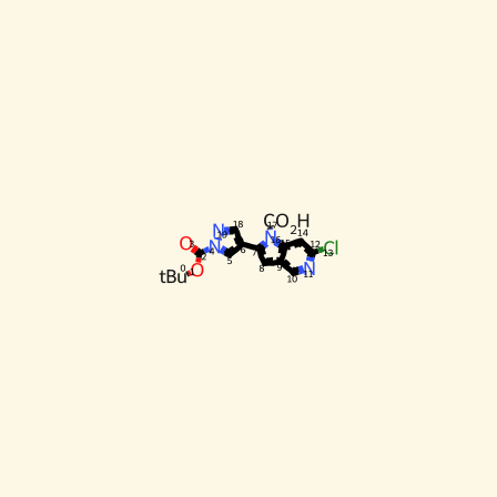 CC(C)(C)OC(=O)n1cc(-c2cc3cnc(Cl)cc3n2C(=O)O)cn1